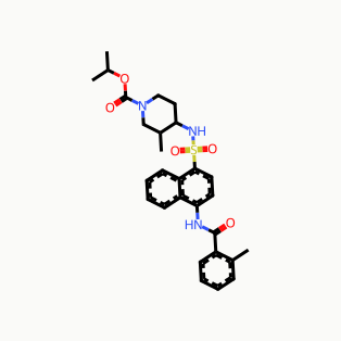 Cc1ccccc1C(=O)Nc1ccc(S(=O)(=O)NC2CCN(C(=O)OC(C)C)CC2C)c2ccccc12